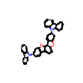 c1ccc2c(c1)c1ccccc1n2-c1ccc2c(c1)oc1c2ccc2oc3cc(-n4c5ccccc5c5ccccc54)ccc3c21